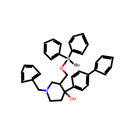 CC(C)(C)[Si](OCC1CN(Cc2ccccc2)CCC1(O)c1ccc(-c2ccccc2)cc1)(c1ccccc1)c1ccccc1